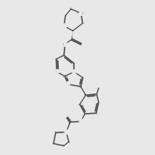 O=C(Nc1cnc2nc(-c3cc(NC(=O)N4CCCC4)ccc3F)cn2c1)[C@@H]1CNCCO1